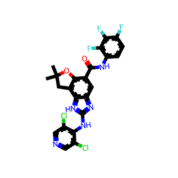 CC1(C)Cc2c(c(C(=O)Nc3ccc(F)c(F)c3F)cc3nc(Nc4c(Cl)cncc4Cl)[nH]c23)O1